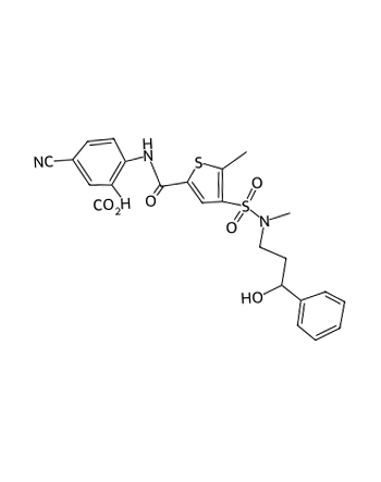 Cc1sc(C(=O)Nc2ccc(C#N)cc2C(=O)O)cc1S(=O)(=O)N(C)CCC(O)c1ccccc1